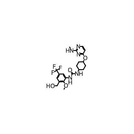 CNc1nccc(OC2CCC(NC(=O)Nc3cc(C(F)(F)F)cc(CO)c3OC)CC2)n1